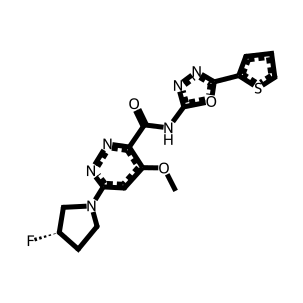 COc1cc(N2CC[C@H](F)C2)nnc1C(=O)Nc1nnc(-c2cccs2)o1